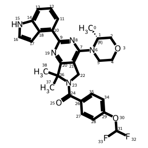 C[C@@H]1COCCN1c1nc(-c2cccc3[nH]ccc23)nc2c1CN(C(=O)c1ccc(OC(F)F)cc1)C2(C)C